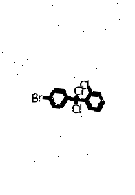 Clc1ccccc1C(Cl)(Cl)c1ccc(Br)cc1